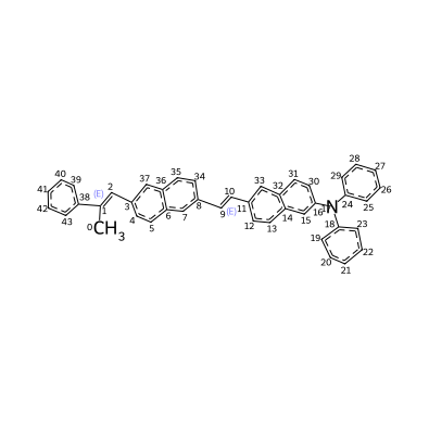 C/C(=C\c1ccc2cc(/C=C/c3ccc4cc(N(c5ccccc5)c5ccccc5)ccc4c3)ccc2c1)c1ccccc1